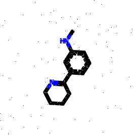 CNc1cccc(C2=NCCCC2)c1